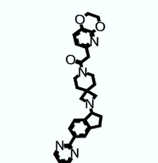 O=C(Cc1ccc2c(n1)OCCO2)N1CCC2(CC1)CN(C1CCc3cc(-c4ncccn4)ccc31)C2